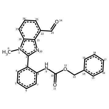 Cn1c(-c2ccccc2NC(=O)OCc2ccccc2)nc2c(C=O)cccc21